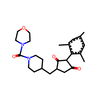 Cc1cc(C)c(C2C(=O)CC(CC3CCN(C(=O)N4CCOCC4)CC3)C2=O)c(C)c1